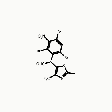 Cc1nc(C(F)(F)F)c(N(C=O)c2c(Br)cc(Br)c([N+](=O)[O-])c2Br)s1